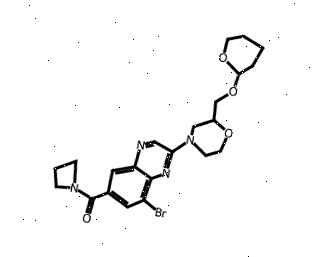 O=C(c1cc(Br)c2nc(N3CCOC(COC4CCCCO4)C3)cnc2c1)N1CCC1